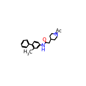 CC(=O)N1CCC(CC(=O)Nc2ccc(-c3ccccc3)c(C)c2)CC1